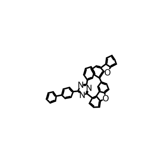 c1ccc(-c2ccc(-c3nc(-c4ccccc4)nc(-c4cccc5oc6ccc(-c7cccc8c7oc7ccccc78)cc6c45)n3)cc2)cc1